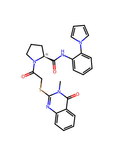 Cn1c(SCC(=O)N2CCC[C@H]2C(=O)Nc2ccccc2-n2cccc2)nc2ccccc2c1=O